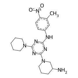 Cc1cc(Nc2nc(N3CCCCC3)nc(N3CCCC(N)C3)n2)ccc1[N+](=O)[O-]